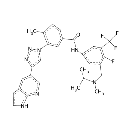 Cc1ccc(C(=O)Nc2cc(CN(C)C(C)C)c(F)c(C(F)(F)F)c2)cc1-n1cc(-c2cnc3[nH]ccc3c2)nn1